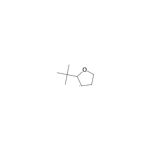 CC(C)(C)C1[CH]CCO1